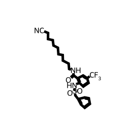 N#CCCCCCCCCCCNC(=O)c1cc(C(F)(F)F)ccc1NS(=O)(=O)Cc1ccccc1